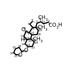 C[C@H](CCC(=O)O)[C@H]1CCC2C3C(=O)C[C@@H]4C[C@H](OC5CCCCO5)CC[C@]4(C)C3CC[C@@]21C